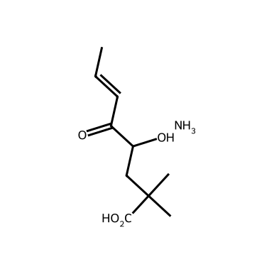 CC=CC(=O)C(O)CC(C)(C)C(=O)O.N